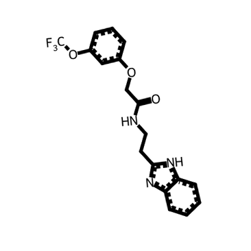 O=C(COc1cccc(OC(F)(F)F)c1)NCCc1nc2ccccc2[nH]1